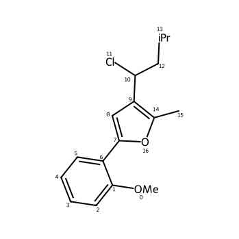 COc1ccccc1-c1cc(C(Cl)CC(C)C)c(C)o1